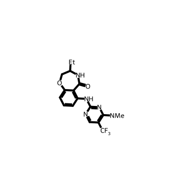 CCC1COc2cccc(Nc3ncc(C(F)(F)F)c(NC)n3)c2C(=O)N1